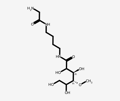 CO[C@H](C(O)CO)[C@H](O)C(O)C(=O)NCCCCNC(=O)CN